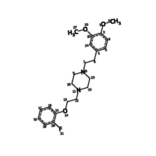 COc1ccc(CCN2CCN(CCOc3ccccc3F)CC2)cc1OC